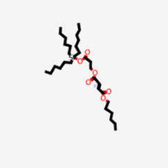 CCCCCCOC(=O)/C=C/C(=O)OCCC(=O)O[Si](CCCCCC)(CCCCCC)CCCCCC